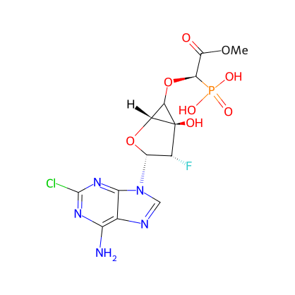 COC(=O)[C@H](OC1[C@H]2O[C@@H](n3cnc4c(N)nc(Cl)nc43)[C@@H](F)[C@@]12O)P(=O)(O)O